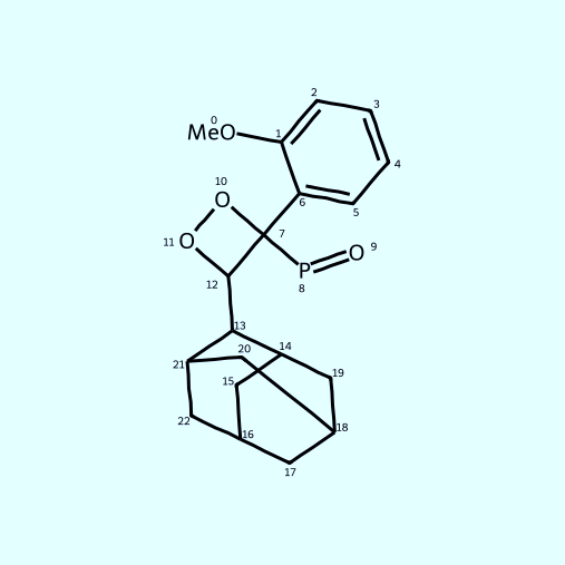 COc1ccccc1C1(P=O)OOC1C1C2CC3CC(C2)CC1C3